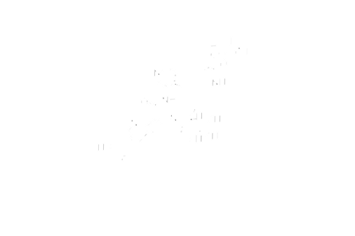 CC(C)c1cnc2c(C(=O)Nc3cnccc3[C@H]3CC(NC(=O)OC(C)(C)C)C[C@@H](C)C3)c(NC(=O)OC(C)(C)C)oc2c1